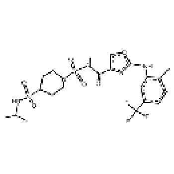 Cc1ccc(C(F)(F)F)cc1Nc1nc(C(=O)NS(=O)(=O)N2CCC(S(=O)(=O)NC(C)C)CC2)co1